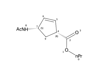 CCCOC(=O)[C@H]1C=C[C@@H](NC(C)=O)C1